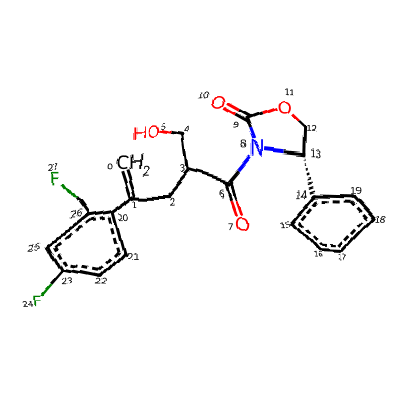 C=C(CC(CO)C(=O)N1C(=O)OC[C@@H]1c1ccccc1)c1ccc(F)cc1F